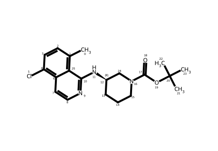 Cc1ccc(Cl)c2ccnc(N[C@@H]3CCCN(C(=O)OC(C)(C)C)C3)c12